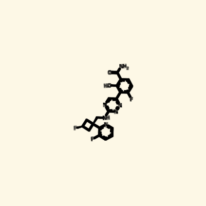 NC(=O)c1ccc(F)c(-c2cnc(NC[C@]3(c4ncccc4F)C[C@H](F)C3)nn2)c1O